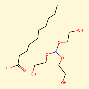 CCCCCCCCCC(=O)O.OCCON(OCCO)OCCO